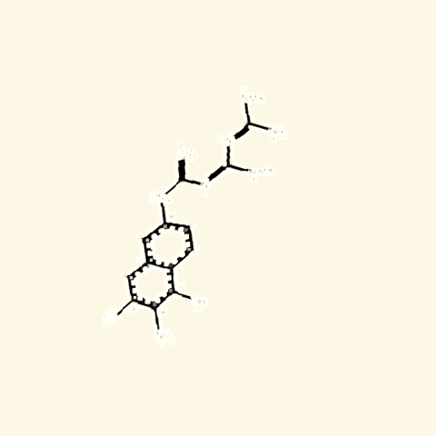 C=C(/N=C(\N=C(/N)NC)NC)Nc1ccc2c(O)c(N)c(S)cc2c1